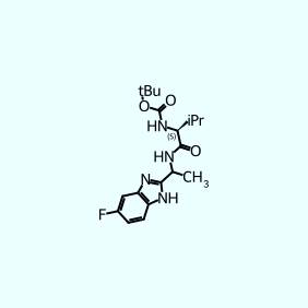 CC(NC(=O)[C@@H](NC(=O)OC(C)(C)C)C(C)C)c1nc2cc(F)ccc2[nH]1